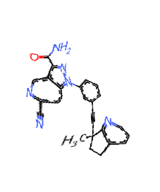 C[C@]1(C#Cc2cccc(-n3nc(C(N)=O)c4cnc(C#N)cc43)c2)CCc2cccnc21